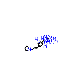 NC1=NC(N)(c2ccc(C=CCN3CCCCC3)cc2)NN1